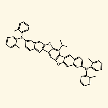 Cc1ccccc1N(c1ccc2cc3c(cc2c1)oc1c(C(C)C)c2c(cc13)oc1cc3cc(N(c4ccccc4C)c4ccccc4C)ccc3cc12)c1ccccc1C